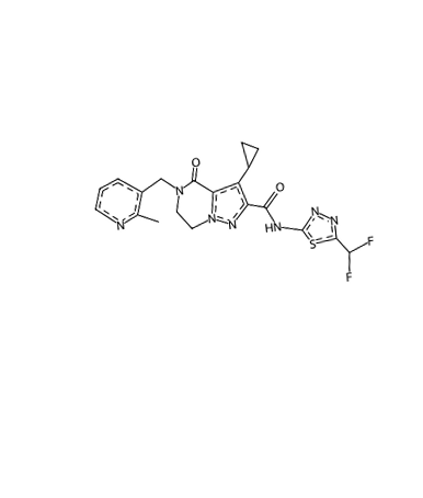 Cc1ncccc1CN1CCn2nc(C(=O)Nc3nnc(C(F)F)s3)c(C3CC3)c2C1=O